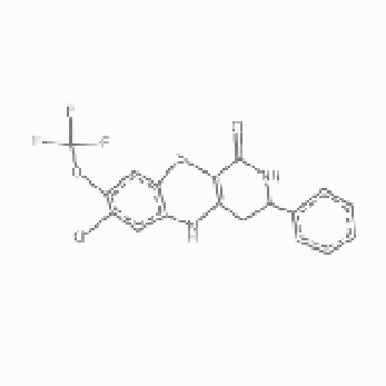 O=C1NC(c2ccccc2)CC2=C1Sc1cc(OC(F)(F)F)c(Cl)cc1N2